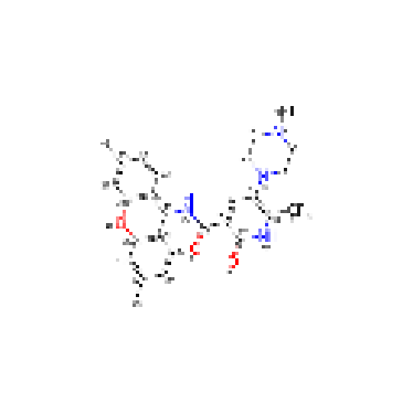 CCN1CCN(c2cc(C(=O)NC3c4ccc(C)cc4Oc4cc(C)ccc43)c(=O)[nH]c2C(F)(F)F)CC1